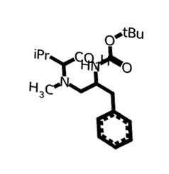 CC(C)C(C(=O)O)N(C)CC(Cc1ccccc1)NC(=O)OC(C)(C)C